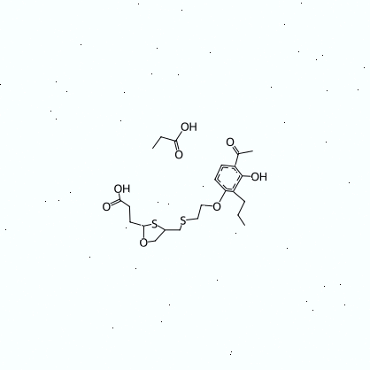 CCC(=O)O.CCCc1c(OCCSCC2COC(CCC(=O)O)S2)ccc(C(C)=O)c1O